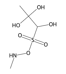 CNOS(=O)(=O)C(O)C(C)(O)O